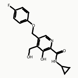 O=C(NC1CC1)c1ncc(COc2ccc(F)cc2)c(CO)c1O